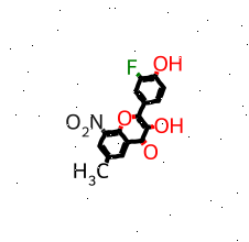 Cc1cc([N+](=O)[O-])c2oc(-c3ccc(O)c(F)c3)c(O)c(=O)c2c1